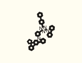 c1ccc(-c2ccc(-c3nc(-c4cccc(-n5c6ccccc6c6cc7c(cc65)C5(CCCC5)c5ccccc5-7)c4)nc(-n4c5ccccc5c5ccccc54)n3)cc2)cc1